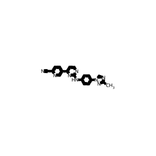 Cc1ncn(-c2ccc(Nc3nccc(-c4ccc(C#N)nc4)n3)cc2)n1